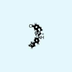 C[C@H](C(=O)Nc1ccc(-c2ccn(C)n2)cc1)N1CCc2ccc(Cl)cc2C1=O